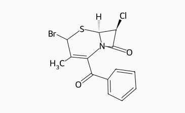 CC1=C(C(=O)c2ccccc2)N2C(=O)[C@H](Cl)[C@@H]2SC1Br